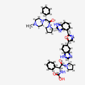 CN1CCN([C@@H](C(=O)N2CCC[C@H]2c2nc3c(-c4ncc(-c5ccc6[nH]c([C@@H]7CCCN7C(=O)[C@H](NC(=O)O)c7ccccc7)nc6c5)o4)cccc3[nH]2)c2ccccc2)CC1